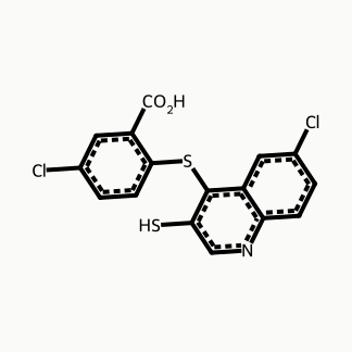 O=C(O)c1cc(Cl)ccc1Sc1c(S)cnc2ccc(Cl)cc12